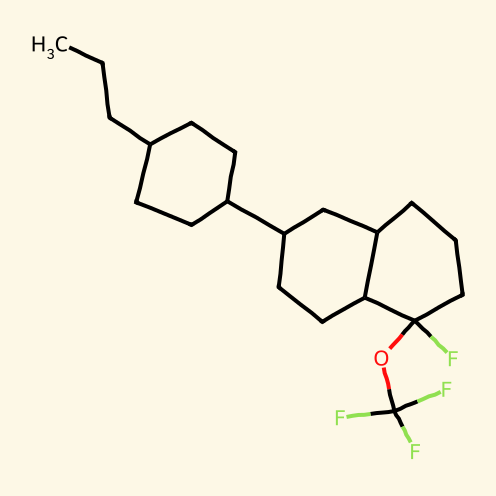 CCCC1CCC(C2CCC3C(CCCC3(F)OC(F)(F)F)C2)CC1